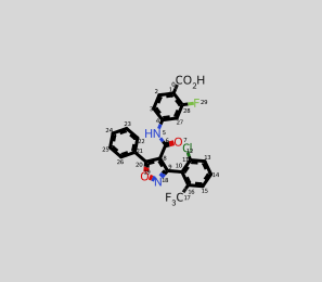 O=C(O)c1ccc(NC(=O)c2c(-c3c(Cl)cccc3C(F)(F)F)noc2-c2ccccc2)cc1F